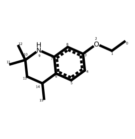 CCOc1ccc2c(c1)NC(C)(C)CC2C